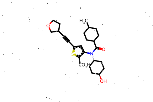 CC1CCC(C(=O)N(c2cc(C#CC3CCOC3)sc2C(=O)O)[C@H]2CC[C@H](O)CC2)CC1